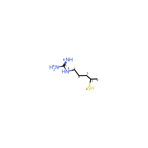 CC(S)CCCNC(=N)N